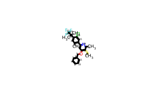 CSc1c(OCc2ccccc2)cc(-c2cc(Cl)c(C(C)(C)C(F)(F)F)cc2C)nc1C